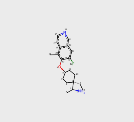 CC[C@]1(C(C)N)CC[C@@H](Oc2c(F)cc3cnccc3c2C)CC1